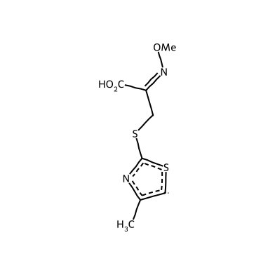 CO/N=C(/CSc1nc(C)[c]s1)C(=O)O